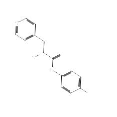 Cl.N[C@@H](Cc1ccncc1)C(=O)Nc1ccc(C(=O)O)cc1